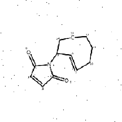 O=C1C=CC(=O)N1C1/C=C/CCCCC1